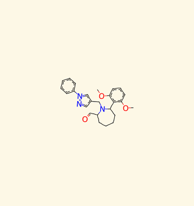 COc1cccc(OC)c1C1CCCCC(C=O)N1Cc1cnn(-c2ccccc2)c1